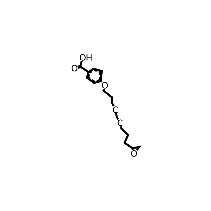 O=C(O)c1ccc(OCCCCCCCCCC2CO2)cc1